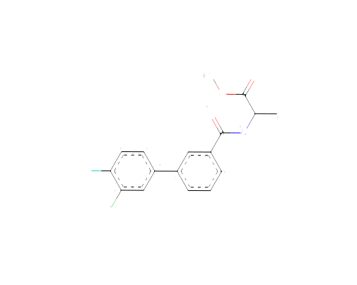 CC(C)OC(=O)C(C)NC(=O)c1cccc(-c2ccc(F)c(Cl)c2)c1